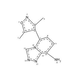 Cc1noc(C)c1-c1ccc(N)c2nncn12